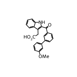 COc1cccc(-c2cccc(C(=O)c3[nH]c4ccccc4c3CC(=O)O)c2)c1